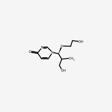 CC(CO)[C@H](OCCO)n1ccc(=O)nc1